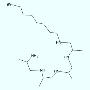 CC(C)CCCCCCCNCC(C)NCC(C)NCC(C)NCC(C)N